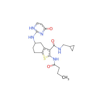 CCCC(=O)Nc1sc2c(c1C(=O)NCC1CC1)CC(Nc1nc(=O)cc[nH]1)CC2